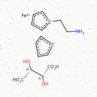 NCC[c-]1cccc1.O=C(O)[C@H](O)[C@@H](O)C(=O)O.[Fe+2].c1cc[cH-]c1